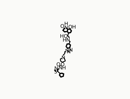 O=C(Nc1ncsc1-c1ccccc1)OC1CCN(CCCn2nnc3cc(CNCC(O)c4ccc(O)c5[nH]c(=O)ccc45)ccc32)CC1